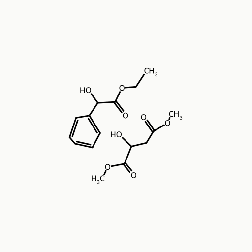 CCOC(=O)C(O)c1ccccc1.COC(=O)CC(O)C(=O)OC